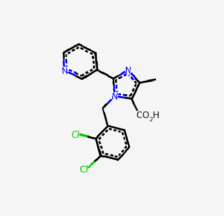 Cc1nc(-c2cccnc2)n(Cc2cccc(Cl)c2Cl)c1C(=O)O